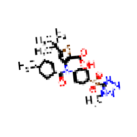 Cn1nnnc1S(=O)(=O)[C@H]1CC[C@H](N(c2cc(C(C)(C)C)sc2C(=O)O)C(=O)[C@H]2CC[C@H](C)CC2)CC1